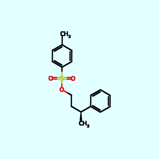 Cc1ccc(S(=O)(=O)OCC[C@H](C)c2ccccc2)cc1